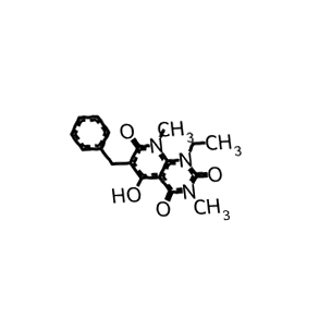 CCn1c(=O)n(C)c(=O)c2c(O)c(Cc3ccccc3)c(=O)n(C)c21